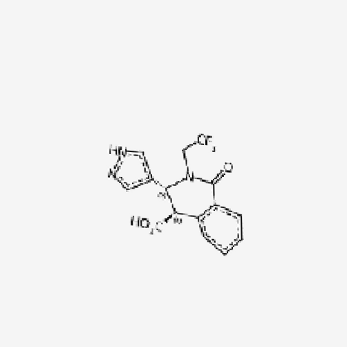 O=C(O)[C@@H]1c2ccccc2C(=O)N(CC(F)(F)F)[C@H]1c1cn[nH]c1